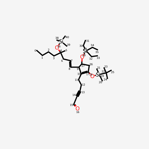 CCCCC(C)(C/C=C/C1C(CCC#CC=O)=C(O[Si](C)(C)C(C)(C)C)CC1O[Si](CC)(CC)CC)O[Si](C)(C)C